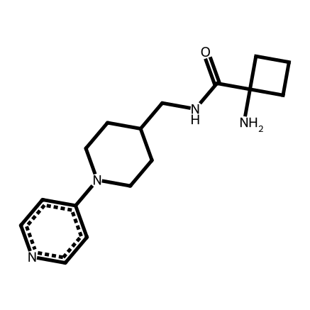 NC1(C(=O)NCC2CCN(c3ccncc3)CC2)CCC1